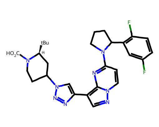 CC(C)(C)[C@H]1CC(n2cc(-c3cnn4ccc(N5CCCC5c5cc(F)ccc5F)nc34)nn2)CCN1C(=O)O